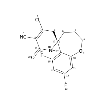 N#CC1=C(Cl)C[C@]2(CCCOc3cc(F)cc(F)c32)NC1=O